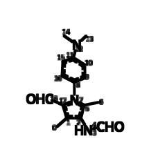 Cc1c(NC=O)c(C)n(-c2ccc(N(C)C)cc2)c1C=O